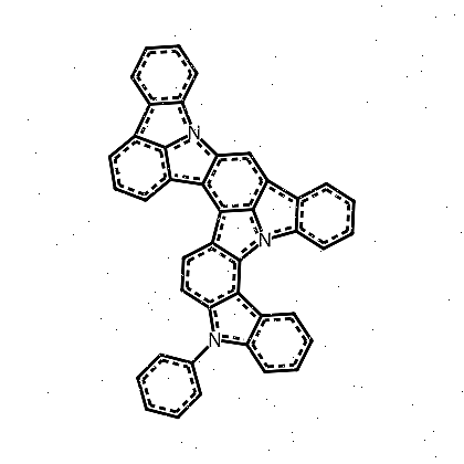 c1ccc(-n2c3ccccc3c3c2ccc2c4c5c6cccc7c8ccccc8n(c5cc5c8ccccc8n(c54)c23)c76)cc1